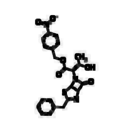 CC(O)=C(C(=O)OCc1ccc([N+](=O)[O-])cc1)N1C(=O)C2N=C(Cc3ccccc3)SC21